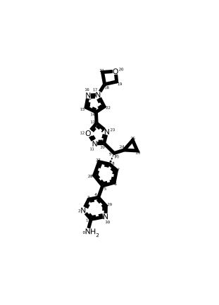 Nc1ncc(-c2ccc([C@H](c3noc(-c4cnn(C5COC5)c4)n3)C3CC3)cc2)cn1